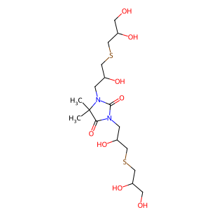 CC1(C)C(=O)N(CC(O)CSCC(O)CO)C(=O)N1CC(O)CSCC(O)CO